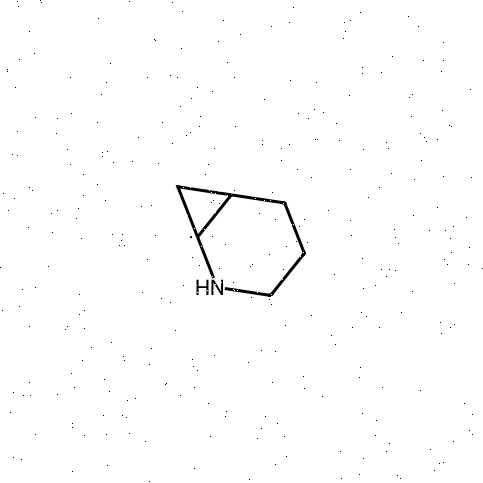 C1CN[C]2CC2C1